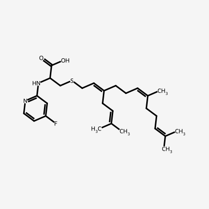 CC(C)=CCCC(C)=CCCC(=CCSCC(Nc1cc(F)ccn1)C(=O)O)CC=C(C)C